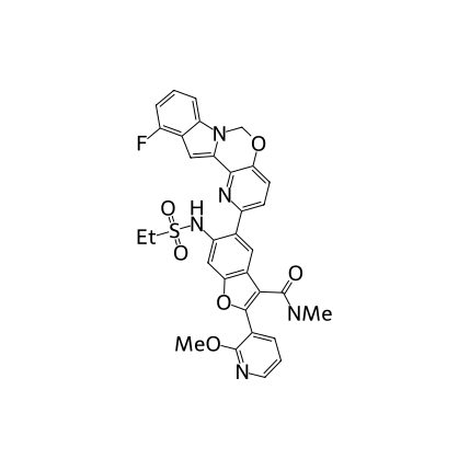 CCS(=O)(=O)Nc1cc2oc(-c3cccnc3OC)c(C(=O)NC)c2cc1-c1ccc2c(n1)-c1cc3c(F)cccc3n1CO2